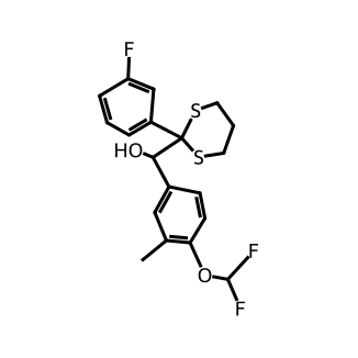 Cc1cc(C(O)C2(c3cccc(F)c3)SCCCS2)ccc1OC(F)F